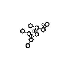 c1ccc(-c2ccc3c(c2)c2cc(-c4ccccc4)ccc2n3-c2cccc3c2oc2c(-c4ccccc4)ccc(-c4cccc5c4sc4ccccc45)c23)cc1